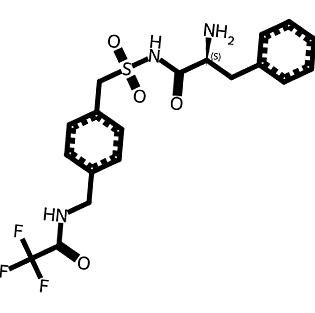 N[C@@H](Cc1ccccc1)C(=O)NS(=O)(=O)Cc1ccc(CNC(=O)C(F)(F)F)cc1